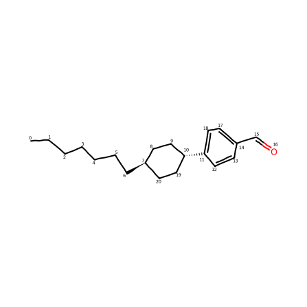 CCCCCCC[C@H]1CC[C@H](c2ccc(C=O)cc2)CC1